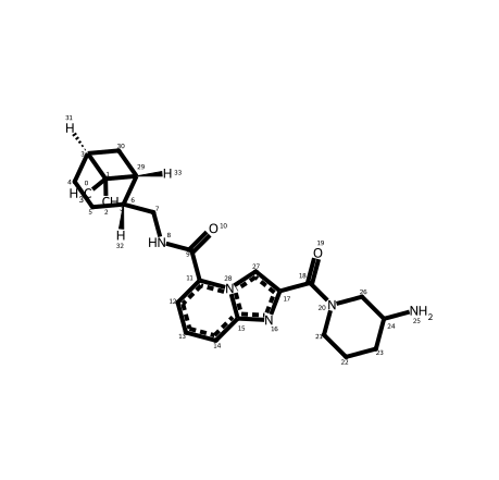 CC1(C)[C@H]2CC[C@@H](CNC(=O)c3cccc4nc(C(=O)N5CCCC(N)C5)cn34)[C@H]1C2